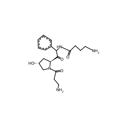 NCCCC(=O)NC(C(=O)[C@@H]1C[C@@H](O)CN1C(=O)CCN)c1ccccc1